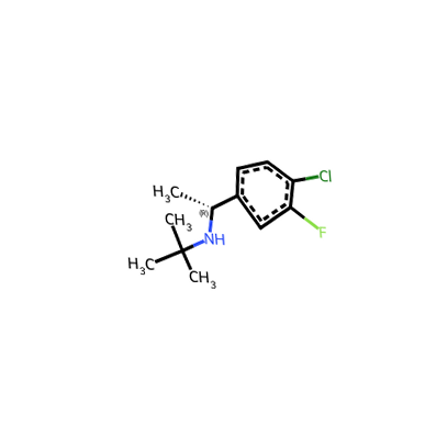 C[C@@H](NC(C)(C)C)c1ccc(Cl)c(F)c1